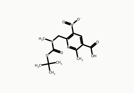 Cc1nc(CN(C)C(=O)OC(C)(C)C)c([N+](=O)[O-])cc1C(=O)O